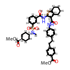 COC(=O)c1ccc(CCc2ccc(NC(=O)c3c(NC(=O)c4cccc(S(=O)(=O)N(C)[C@H]5CC[C@H](C(=O)OC)CC5)c4)sc4c3CCCC4)cc2)cc1